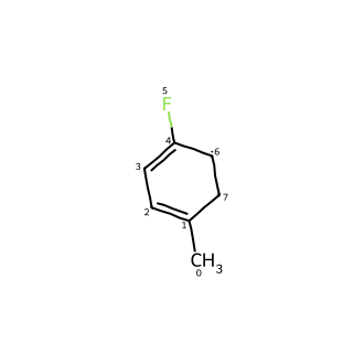 CC1=CC=C(F)[CH]C1